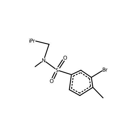 Cc1ccc(S(=O)(=O)N(C)CC(C)C)cc1Br